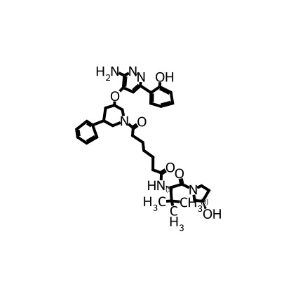 CC(C)(C)[C@H](NC(=O)CCCCCC(=O)N1CC(Oc2cc(-c3ccccc3O)nnc2N)CC(c2ccccc2)C1)C(=O)N1CC[C@@H](O)C1